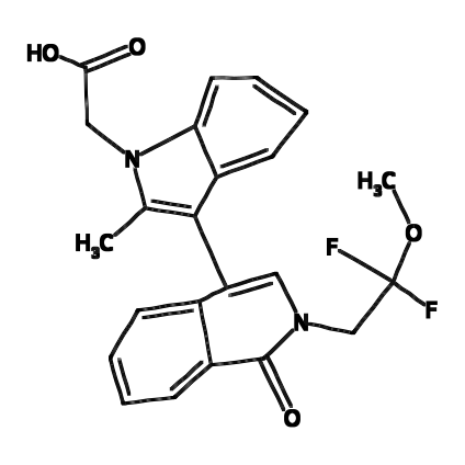 COC(F)(F)Cn1cc(-c2c(C)n(CC(=O)O)c3ccccc23)c2ccccc2c1=O